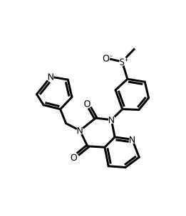 C[S+]([O-])c1cccc(-n2c(=O)n(Cc3ccncc3)c(=O)c3cccnc32)c1